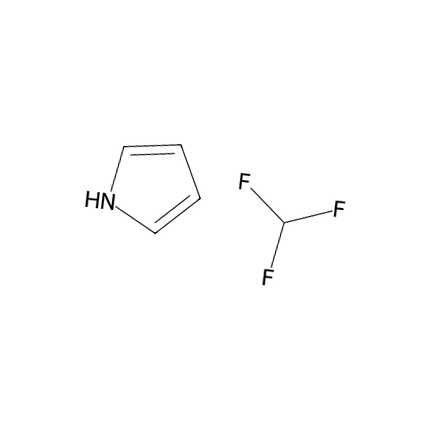 FC(F)F.c1cc[nH]c1